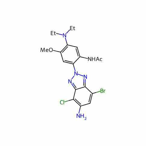 CCN(CC)c1cc(NC(C)=O)c(-n2nc3c(Br)cc(N)c(Cl)c3n2)cc1OC